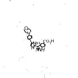 O=C(O)c1ccc2[nH]nc(-c3ncc(-c4ccc(N5CCOCC5)cc4)[nH]3)c2c1